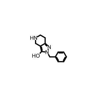 Oc1c2c(nn1Cc1ccccc1)CCNC2